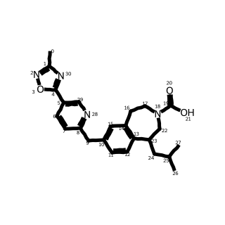 Cc1noc(-c2ccc(Cc3ccc4c(c3)CCN(C(=O)O)CC4CC(C)C)nc2)n1